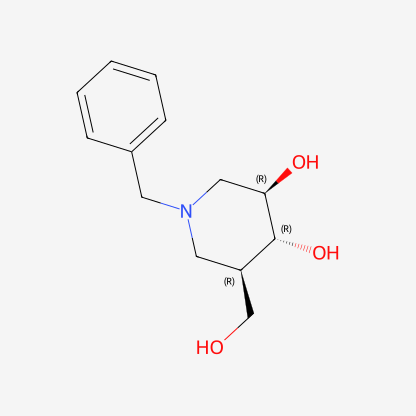 OC[C@H]1CN(Cc2ccccc2)C[C@@H](O)[C@@H]1O